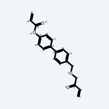 C=CC(=O)COCc1ccc(-c2ccc(OC(=O)C=C)cc2)cc1